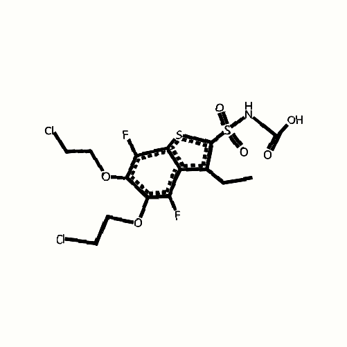 CCc1c(S(=O)(=O)NC(=O)O)sc2c(F)c(OCCCl)c(OCCCl)c(F)c12